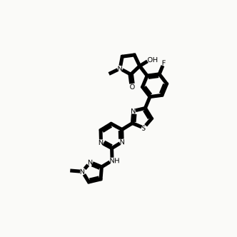 CN1CCC(O)(c2cc(-c3csc(-c4ccnc(Nc5ccn(C)n5)n4)n3)ccc2F)C1=O